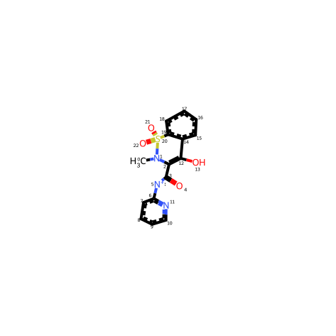 CN1C(C(=O)[N+]c2ccccn2)=C(O)c2ccccc2S1(=O)=O